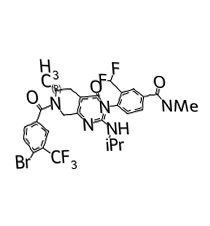 CNC(=O)c1ccc(-n2c(NC(C)C)nc3c(c2=O)C[C@@H](C)N(C(=O)c2ccc(Br)c(C(F)(F)F)c2)C3)c(C(F)F)c1